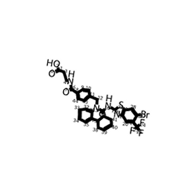 O=C(O)CCNC(=O)c1ccc(CN(C(=O)Nc2nc3cc(C(F)(F)F)c(Br)cc3s2)c2ccccc2C2CC=CCC2)cc1